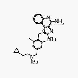 CCCCc1nc2c(N)nc3ccccc3c2n1Cc1c(C)cc(CN(CCC2CC2)C(C)(C)C)cc1C